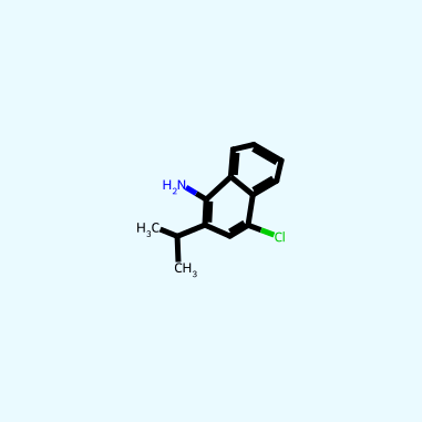 CC(C)c1cc(Cl)c2ccccc2c1N